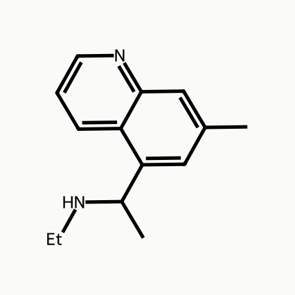 CCNC(C)c1cc(C)cc2ncccc12